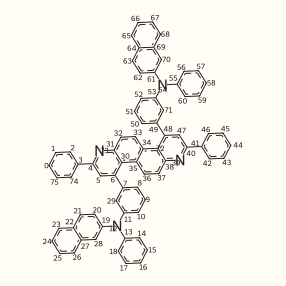 c1ccc(-c2cc(-c3cccc(N(c4ccccc4)c4ccc5ccccc5c4)c3)c3c(ccc4c3ccc3nc(-c5ccccc5)cc(-c5cccc(N(c6ccccc6)c6ccc7ccccc7c6)c5)c34)n2)cc1